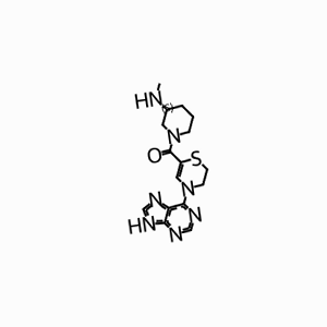 CN[C@H]1CCCN(C(=O)C2=CN(c3ncnc4[nH]cnc34)CCS2)C1